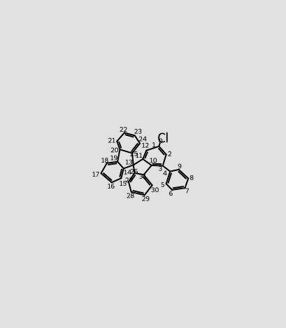 Clc1cc(-c2ccccc2)c2c(c1)C1(c3ccccc3-c3ccccc31)c1ccccc1-2